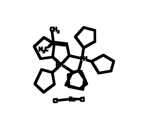 CC(C)=CC([PH](C1CCCC1)(C1CCCC1)C1CCCC1)[PH](C1CCCC1)(C1CCCC1)C1CCCC1.[Cl][Ru][Cl]